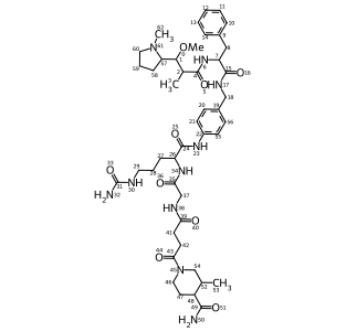 COC(C(C)C(=O)NC(Cc1ccccc1)C(=O)NCc1ccc(NC(=O)C(CCCNC(N)=O)NC(=O)CNC(=O)CCC(=O)N2CCC(C(N)=O)C(C)C2)cc1)C1CCCN1C